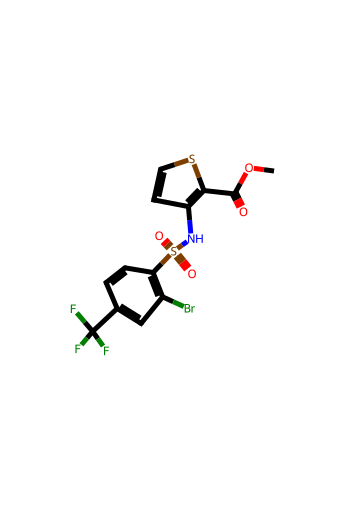 COC(=O)c1sccc1NS(=O)(=O)c1ccc(C(F)(F)F)cc1Br